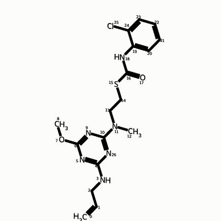 C=CCNc1nc(OC)nc(N(C)CCSC(=O)Nc2ccccc2Cl)n1